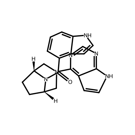 O=C(c1cccc2[nH]ccc12)N1[C@@H]2CC[C@H]1CN(c1ncnc3[nH]ccc13)C2